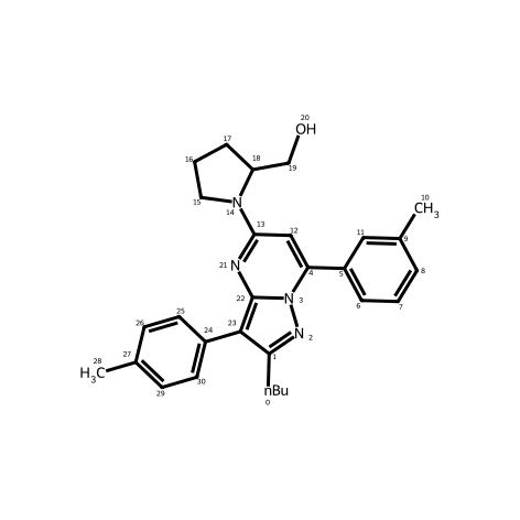 CCCCc1nn2c(-c3cccc(C)c3)cc(N3CCCC3CO)nc2c1-c1ccc(C)cc1